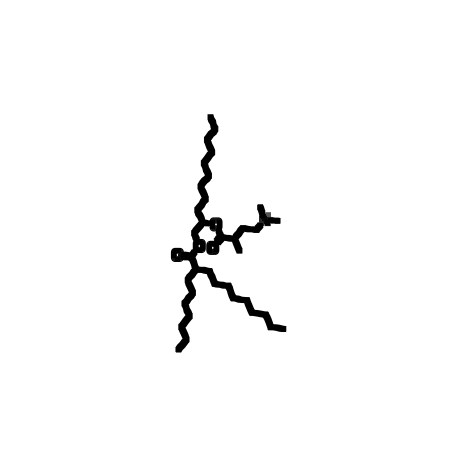 CCCCCCCCCC(COC(=O)C(CCCCCCC)CCCCCCCCC)OC(=O)C(C)CCN(C)C